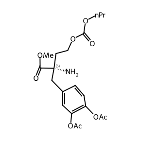 CCCOC(=O)OCC[C@@](N)(Cc1ccc(OC(C)=O)c(OC(C)=O)c1)C(=O)OC